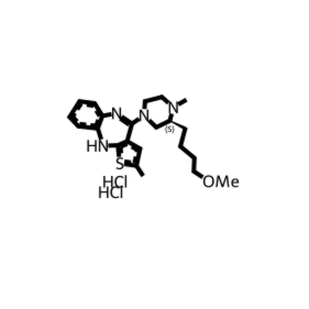 COCCCC[C@H]1CN(C2=Nc3ccccc3Nc3sc(C)cc32)CCN1C.Cl.Cl